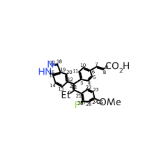 CC/C(=C(/c1ccc(C=CC(=O)O)cc1)c1ccc2[nH]ncc2c1)c1ccc(OC)cc1F